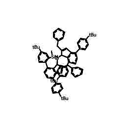 C[SiH](C)[Zr]([CH]1C(Cc2ccccc2)=Cc2c(-c3ccc(C(C)(C)C)cc3)ccc(-c3ccc(C(C)(C)C)cc3)c21)[CH]1C(Cc2ccccc2)=Cc2c(-c3ccc(C(C)(C)C)cc3)ccc(-c3ccc(C(C)(C)C)cc3)c21